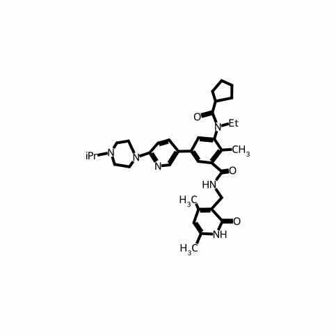 CCN(C(=O)C1CCCC1)c1cc(-c2ccc(N3CCN(C(C)C)CC3)nc2)cc(C(=O)NCc2c(C)cc(C)[nH]c2=O)c1C